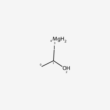 CC(O)I.[MgH2]